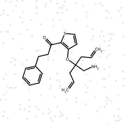 C=CCC(CN)(CC=C)Oc1ccsc1C(=O)CCc1ccccc1